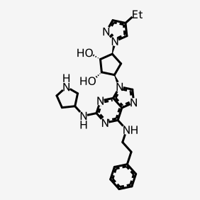 CCc1cnn([C@H]2C[C@@H](n3cnc4c(NCCc5ccccc5)nc(NC5CCNC5)nc43)[C@H](O)[C@@H]2O)c1